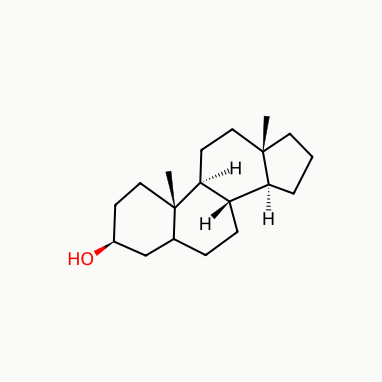 C[C@@]12CCC[C@H]1[C@@H]1CCC3C[C@@H](O)CC[C@]3(C)[C@H]1CC2